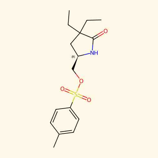 CCC1(CC)C[C@H](COS(=O)(=O)c2ccc(C)cc2)NC1=O